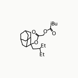 CCC(CC)CC1(OC(=O)COC(=O)C(C)CC)C2CC3CC(C2)CC1C3